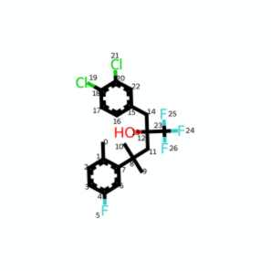 Cc1ccc(F)cc1C(C)(C)CC(O)(Cc1ccc(Cl)c(Cl)c1)C(F)(F)F